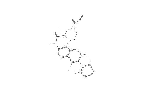 C=CC(=O)N1CCN2c3c(cnc4c(F)c(-c5c(O)cccc5F)c(Cl)cc34)N(C)C(=O)[C@H]2C1